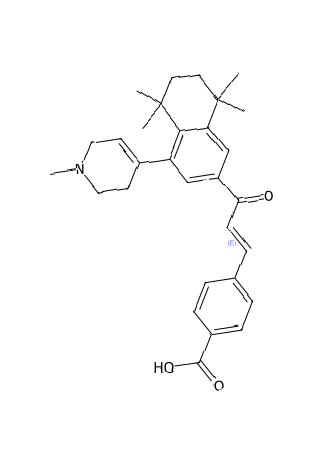 CN1CC=C(c2cc(C(=O)/C=C/c3ccc(C(=O)O)cc3)cc3c2C(C)(C)CCC3(C)C)CC1